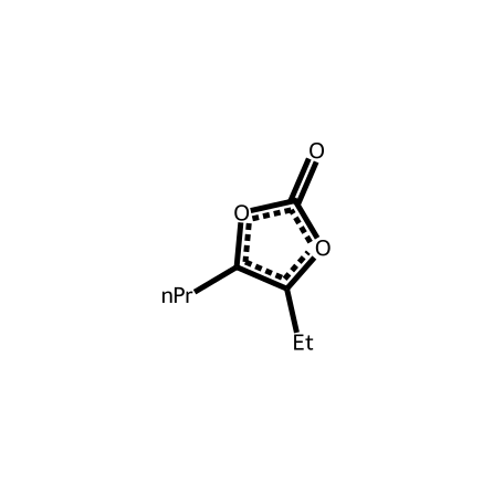 [CH2]Cc1oc(=O)oc1CCC